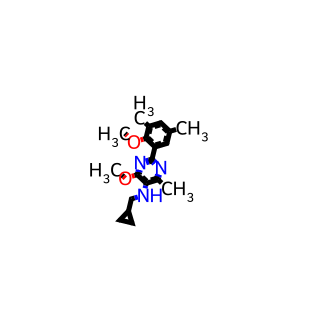 COc1nc(-c2cc(C)cc(C)c2OC)nc(C)c1NCC1CC1